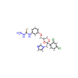 NNC(=S)Nc1cccc(OCC2COC(Cn3ccnc3)(c3ccc(Cl)cc3Cl)O2)c1